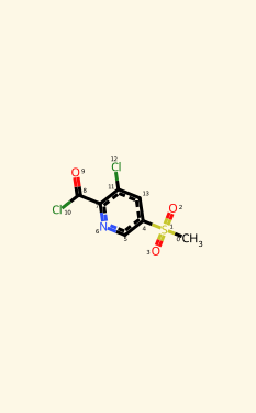 CS(=O)(=O)c1cnc(C(=O)Cl)c(Cl)c1